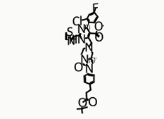 COC(=O)C1=C(CN2CCN3C(=O)N(c4ccc(CCC(=O)OC(C)(C)C)cc4)C[C@]3(C)C2)NC(c2nccs2)=N[C@H]1c1ccc(F)cc1Cl